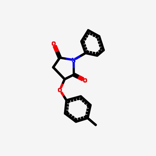 Cc1ccc(OC2CC(=O)N(c3ccccc3)C2=O)cc1